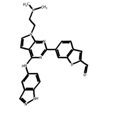 CN(C)CCn1ccc2c(Nc3ccc4[nH]ncc4c3)nc(-c3ccc4cc(C=O)sc4c3)nc21